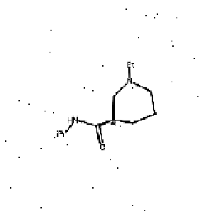 CCN1CCC[C@@H](C(=O)NC(C)C)C1